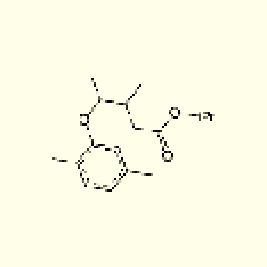 Cc1ccc(C)c(OC(C)C(C)CC(=O)OC(C)C)c1